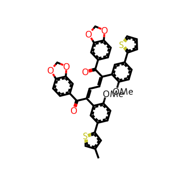 COc1ccc(-c2cccs2)cc1C(=CC=C(C(=O)c1ccc2c(c1)OCO2)c1cc(-c2cc(C)cs2)ccc1OC)C(=O)c1ccc2c(c1)OCO2